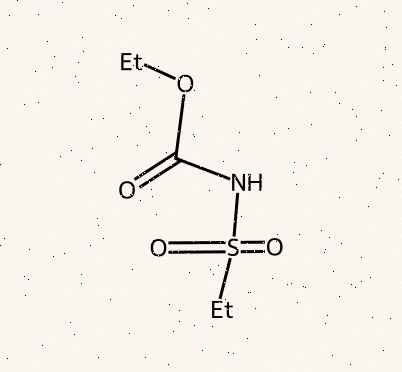 CCOC(=O)NS(=O)(=O)CC